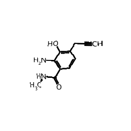 C#CCc1ccc(C(=O)NC)c(N)c1O